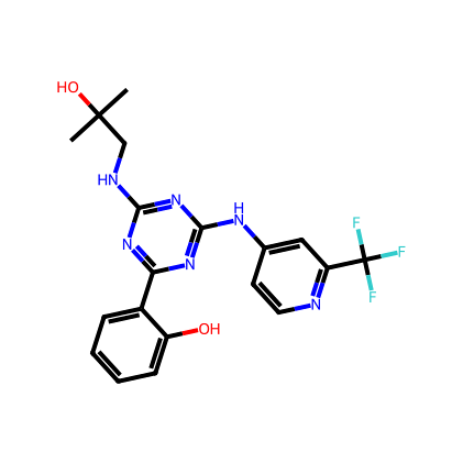 CC(C)(O)CNc1nc(Nc2ccnc(C(F)(F)F)c2)nc(-c2ccccc2O)n1